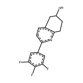 CCCC1CCc2nc(-c3cc(F)c(F)c(F)c3)ccc2C1